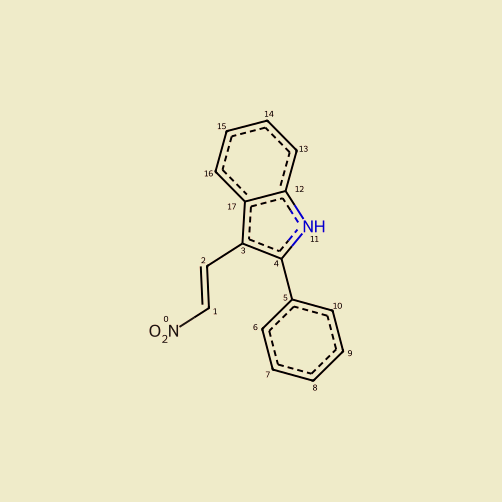 O=[N+]([O-])C=Cc1c(-c2ccccc2)[nH]c2ccccc12